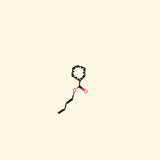 C=CC=COC(=O)c1ccccc1